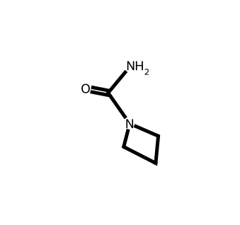 NC(=O)N1CCC1